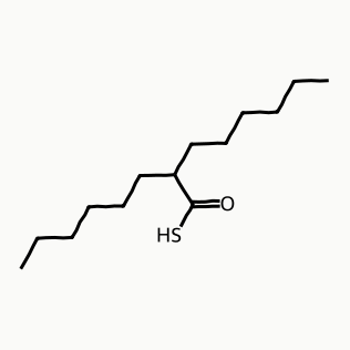 CCCCCCC(CCCCCC)C(=O)S